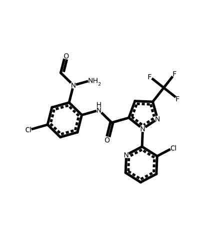 NN(C=O)c1cc(Cl)ccc1NC(=O)c1cc(C(F)(F)F)nn1-c1ncccc1Cl